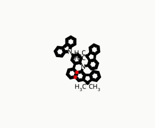 CC1(C)c2ccccc2-c2c(N(c3ccc(-n4c5ccccc5c5ccccc54)cc3-c3ccccc3)c3cccc4c3C(C)(C)c3ccccc3-4)cccc21